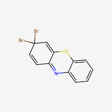 BrC1(Br)C=CC2=Nc3ccccc3SC2=C1